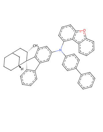 C[C@H]1CC2CCC[C@H](C2)[C@@]12c1ccccc1-c1cc(N(c3ccc(-c4ccccc4)cc3)c3cccc4oc5ccccc5c34)ccc12